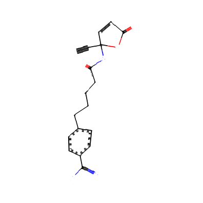 C#CC1(NC(=O)CCCCc2ccc(C(=N)N)cc2)C=CC(=O)O1